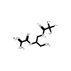 C=C(C)C(=O)OC(CC)COC(=O)C(F)(F)F